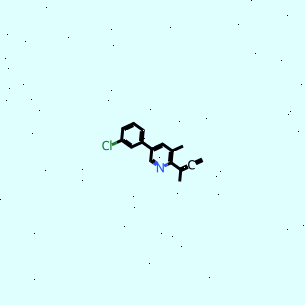 C=C=C(C)c1ncc(-c2cccc(Cl)c2)cc1C